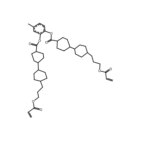 C=CC(=O)OCCCC1CCC(C2CCC(C(=O)Oc3ccc(C)cc3OC(=O)C3CCC(C4CCC(CCCOC(=O)C=C)CC4)CC3)CC2)CC1